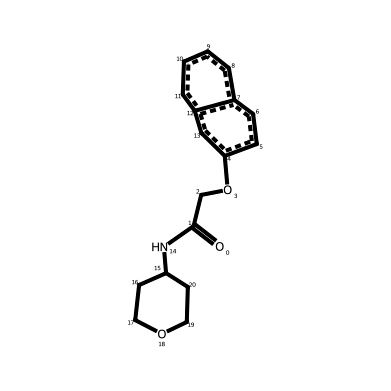 O=C(COc1ccc2ccccc2c1)NC1CCOCC1